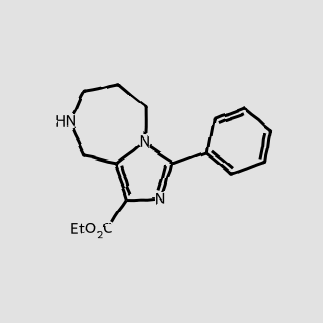 CCOC(=O)c1nc(-c2ccccc2)n2c1CNCCC2